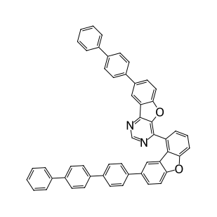 c1ccc(-c2ccc(-c3ccc(-c4ccc5oc6cccc(-c7ncnc8c7oc7ccc(-c9ccc(-c%10ccccc%10)cc9)cc78)c6c5c4)cc3)cc2)cc1